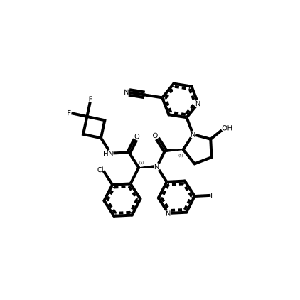 N#Cc1ccnc(N2C(O)CC[C@H]2C(=O)N(c2cncc(F)c2)[C@H](C(=O)NC2CC(F)(F)C2)c2ccccc2Cl)c1